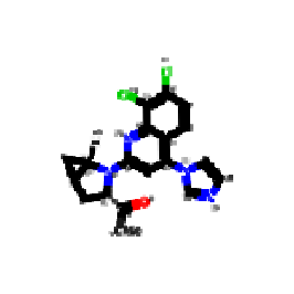 COC(=O)[C@@H]1CC2C[C@@H]2N1c1cc(-n2ccnc2)c2ccc(Cl)c(Cl)c2n1